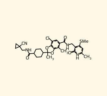 CSc1cc(C)[nH]c(=O)c1CNC(=O)c1cc(Cl)c2c(c1C)OC(C)(C1CCC(C(=O)NCC3(C#N)CC3)CC1)O2